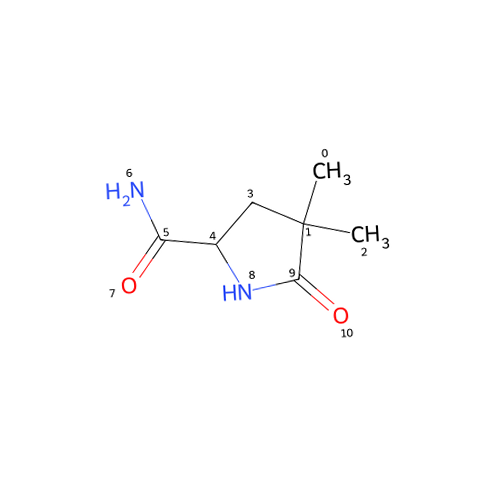 CC1(C)CC(C(N)=O)NC1=O